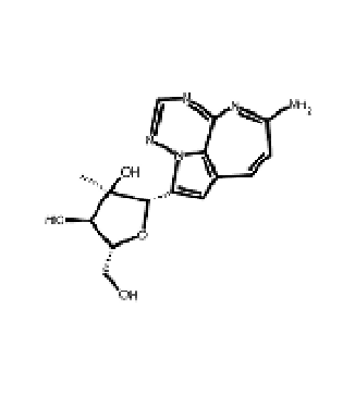 C[C@@]1(O)[C@H](O)[C@@H](CO)O[C@H]1c1cc2c3c(ncnn13)N=C(N)C=C2